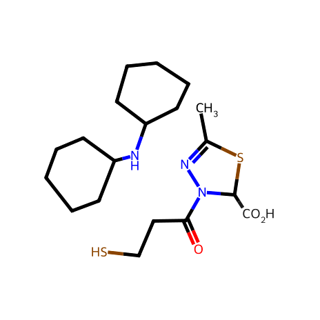 C1CCC(NC2CCCCC2)CC1.CC1=NN(C(=O)CCS)C(C(=O)O)S1